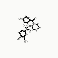 O=C(c1ncc(Cl)cc1NS(=O)(=O)c1ccc(Cl)c(C(F)(F)F)c1)N1CCOCC1